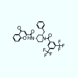 O=C(N[C@H]1CCN(C(=O)c2cc(C(F)(F)F)cc(C(F)(F)F)c2)[C@H](Cc2ccccc2)C1)c1cc(=O)c2ccccc2o1